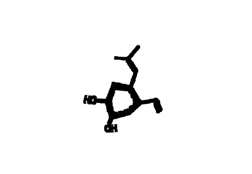 C=Cc1cc(O)c(O)cc1C=C(C)C